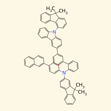 CC1(C)c2ccccc2-c2ccc(N(c3ccc(-c4ccc5ccccc5c4)cc3)c3ccccc3-c3cccc(-c4ccc5c(c4)c4ccccc4n5-c4cccc5c4-c4ccccc4C5(C)C)c3)cc21